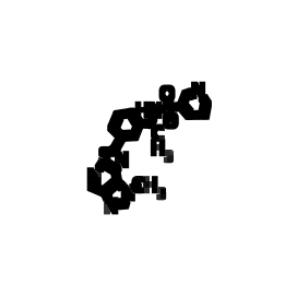 C[C@H](NS(=O)(=O)c1cccnc1)c1cccc(-c2nc3c(ncc4ncn(C)c43)s2)c1